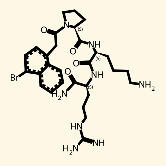 N=C(N)NCCC[C@H](NC(=O)[C@H](CCCCN)NC(=O)[C@@H]1CCCN1C(=O)Cc1ccc(Br)c2ccccc12)C(N)=O